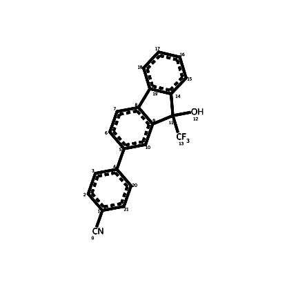 N#Cc1ccc(-c2ccc3c(c2)C(O)(C(F)(F)F)c2ccccc2-3)cc1